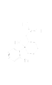 CN(C)CC1CCCCC1(O)c1ccccc1Br